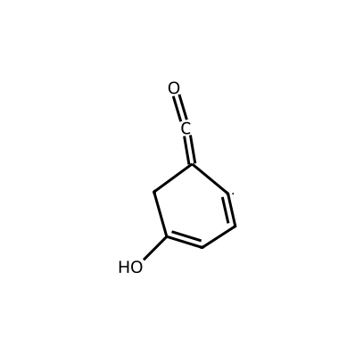 O=C=C1[C]=CC=C(O)C1